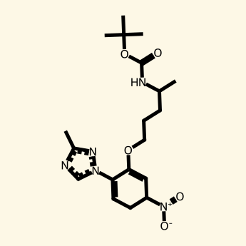 Cc1ncn(C2=CCC([N+](=O)[O-])C=C2OCCCC(C)NC(=O)OC(C)(C)C)n1